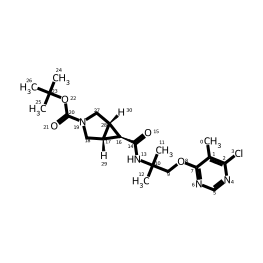 Cc1c(Cl)ncnc1OCC(C)(C)NC(=O)[C@H]1[C@@H]2CN(C(=O)OC(C)(C)C)C[C@@H]21